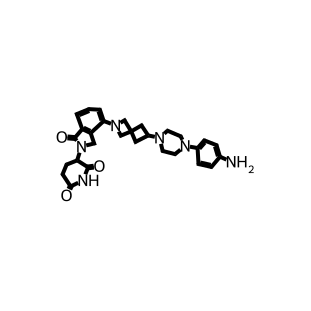 Nc1ccc(N2CCN(C3CC4(C3)CN(c3cccc5c3CN(C3CCC(=O)NC3=O)C5=O)C4)CC2)cc1